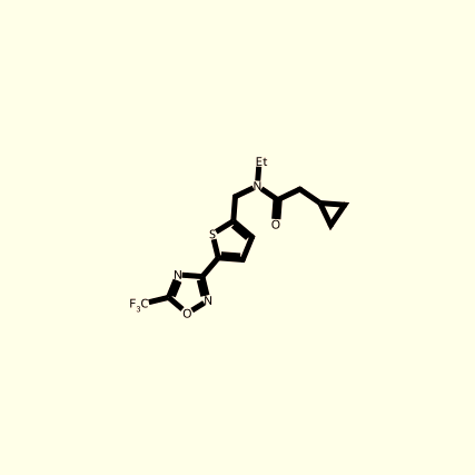 CCN(Cc1ccc(-c2noc(C(F)(F)F)n2)s1)C(=O)CC1CC1